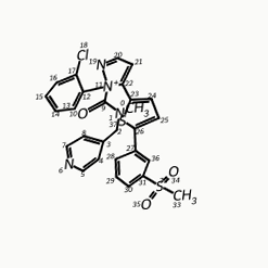 CN(Cc1ccncc1)C(=O)[N+]1(c2ccccc2Cl)N=CC=C1c1ccc(-c2cccc(S(C)(=O)=O)c2)s1